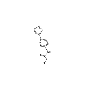 O=C(CCl)Nc1ccc(-c2ccns2)cc1